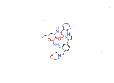 CCCCC(NC(=O)c1cccnc1-n1ccc(-c2ccc(CN3CCOCC3)cc2)n1)C(=O)C(N)=O